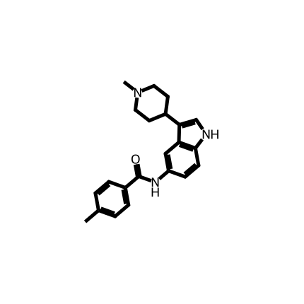 Cc1ccc(C(=O)Nc2ccc3[nH]cc(C4CCN(C)CC4)c3c2)cc1